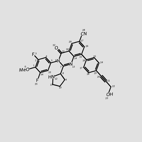 COc1c(F)cc(-n2c(C3CCCN3)nc3c(-c4ccc(C#CCO)cc4)cc(C#N)cc3c2=O)cc1F